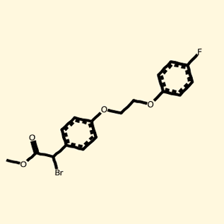 COC(=O)C(Br)c1ccc(OCCOc2ccc(F)cc2)cc1